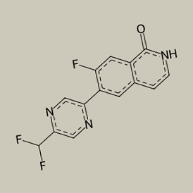 O=c1[nH]ccc2cc(-c3cnc(C(F)F)cn3)c(F)cc12